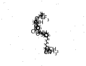 CC1(C)CC(CCCCc2cccc(SNC(=O)c3ccc(N4C=CC(OCCC5(C(F)(F)F)CC5)N4)nc3Cl)c2)CB1C#N